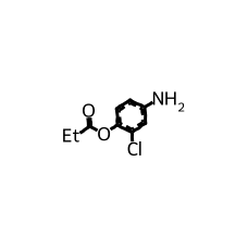 CCC(=O)Oc1ccc(N)cc1Cl